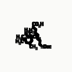 CC1CC(C)(C)N(C)C(C)(C)C1.CCCCCCCCCCCCCCCCCC(=O)O